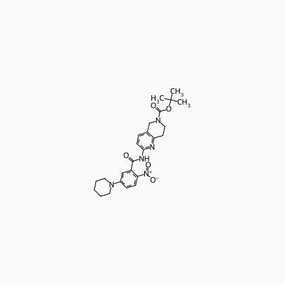 CC(C)(C)OC(=O)N1CCc2nc(NC(=O)c3cc(N4CCCCC4)ccc3[N+](=O)[O-])ccc2C1